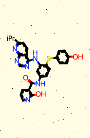 CC(C)c1ccc2c(Nc3cc(NC(=O)c4cccnc4O)ccc3Sc3ccc(O)cc3)ncnc2n1